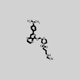 CN(C)c1ccc(-c2cc3nccnc3c(OC[C@@H]3CN(S(=O)(=O)CCCNCC#N)CCO3)n2)cc1